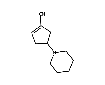 N#CC1=CCC(N2CCCCC2)C1